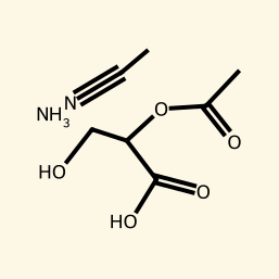 CC#N.CC(=O)OC(CO)C(=O)O.N